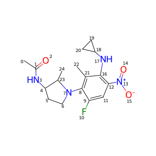 CC(=O)NC1CCN(c2c(F)cc([N+](=O)[O-])c(NC3CC3)c2C)C1C